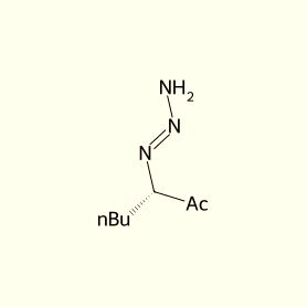 CCCC[C@H](N=NN)C(C)=O